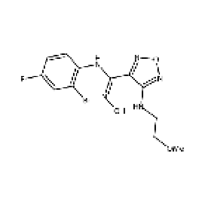 COCCNc1nonc1C(=NO)Nc1ccc(F)cc1Br